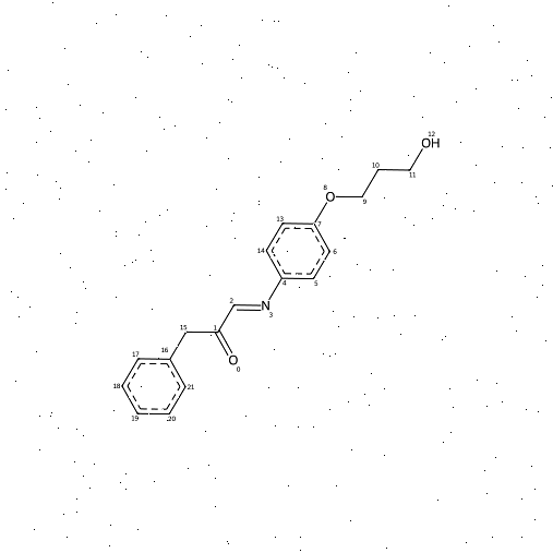 O=C(C=Nc1ccc(OCCCO)cc1)Cc1ccccc1